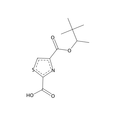 CC(OC(=O)c1csc(C(=O)O)n1)C(C)(C)C